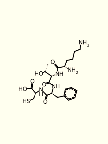 C[C@@H](O)[C@H](NC(=O)[C@@H](N)CCCCN)C(=O)N[C@@H](Cc1ccccc1)C(=O)N[C@@H](CS)C(=O)O